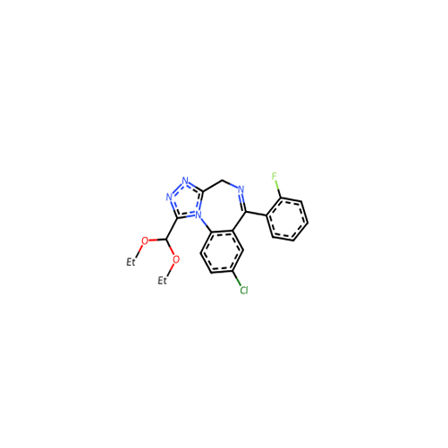 CCOC(OCC)c1nnc2n1-c1ccc(Cl)cc1C(c1ccccc1F)=NC2